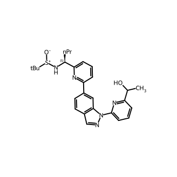 CCC[C@H](N[S+]([O-])C(C)(C)C)c1cccc(-c2ccc3cnn(-c4cccc(C(C)O)n4)c3c2)n1